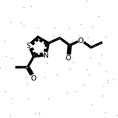 CCOC(=O)Cc1csc(C(C)=O)n1